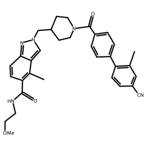 COCCNC(=O)c1ccc2nn(CC3CCN(C(=O)c4ccc(-c5ccc(C#N)cc5C)cc4)CC3)cc2c1C